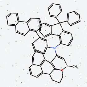 CC1C=C(N(c2cccc(-c3cccc4c3ccc3ccccc34)c2)c2cccc3c2-c2ccccc2C3(c2ccccc2)c2ccccc2)C(c2cccc3cccc(C4CCCCC4)c23)=CC1